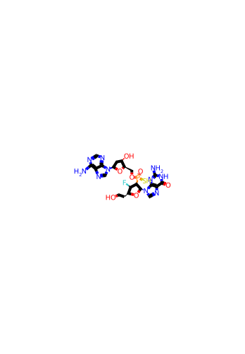 Nc1nc2c(ncn2[C@@H]2O[C@H](CCO)[C@@H](F)[C@H]2P(=O)(S)OC[C@H]2O[C@@H](n3cnc4c(N)ncnc43)C[C@@H]2O)c(=O)[nH]1